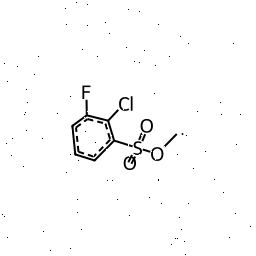 [CH2]OS(=O)(=O)c1cccc(F)c1Cl